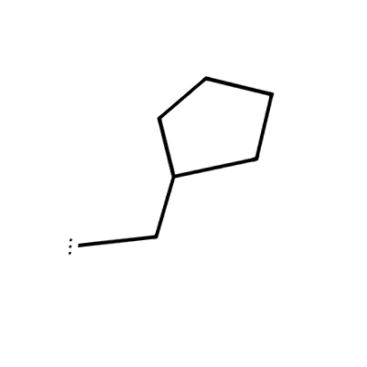 [C]CC1CCCC1